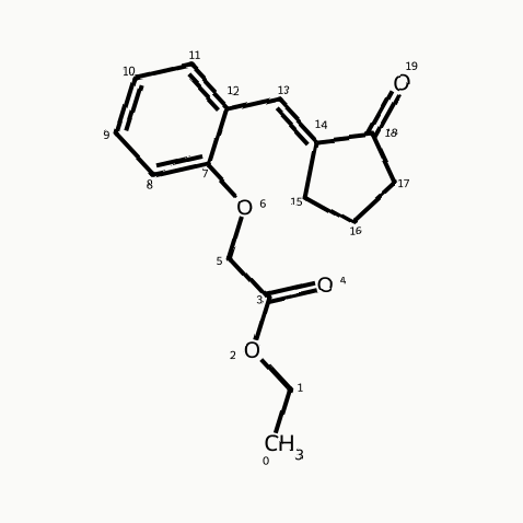 CCOC(=O)COc1ccccc1/C=C1\CCCC1=O